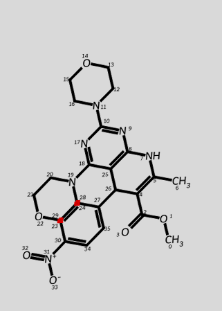 COC(=O)C1=C(C)Nc2nc(N3CCOCC3)nc(N3CCOCC3)c2C1c1ccc([N+](=O)[O-])cc1